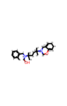 Cc1ccccc1CN(CO)C(C)(C)CCC(C)(C)N1COC2=CCCC=C2C1